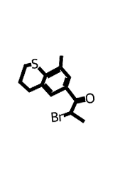 Cc1cc(C(=O)C(C)Br)cc2c1SCCC2